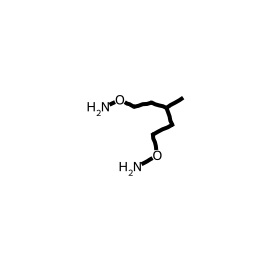 CC(CCON)CCON